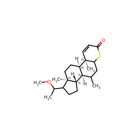 COC(C)C1CC[C@H]2[C@@H]3C(C)CC4SC(=O)C=C[C@]4(C)[C@@H]3CC[C@]12C